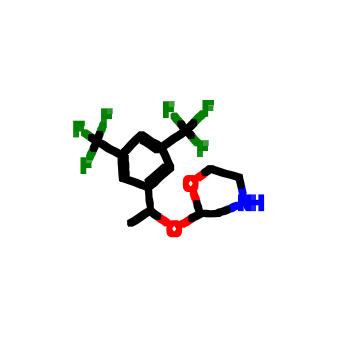 CC(OC1CNCCO1)c1cc(C(F)(F)F)cc(C(F)(F)F)c1